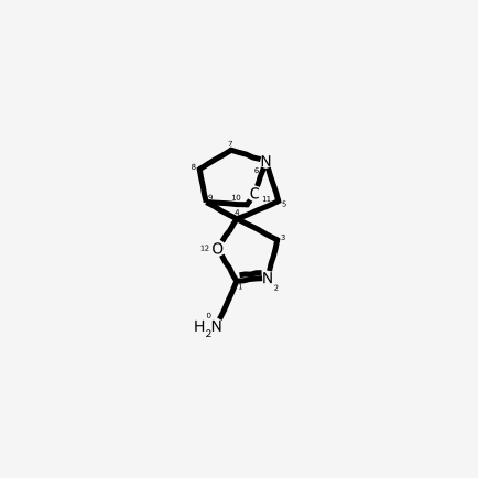 NC1=NCC2(CN3CCC2CC3)O1